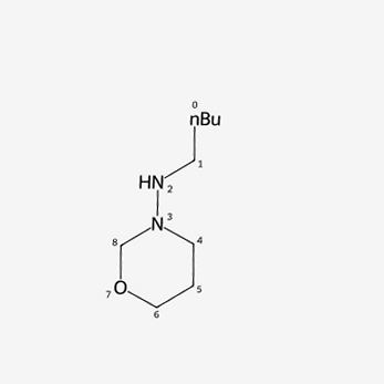 CCCCCNN1CCCOC1